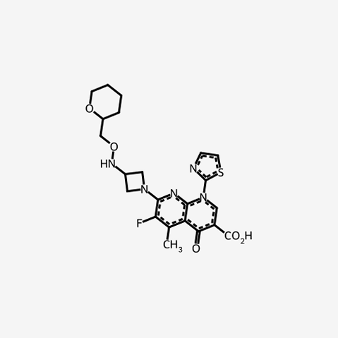 Cc1c(F)c(N2CC(NOCC3CCCCO3)C2)nc2c1c(=O)c(C(=O)O)cn2-c1nccs1